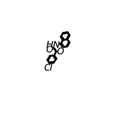 O=C1Nc2c(ccc3ccccc23)OC1c1ccc(Cl)cc1